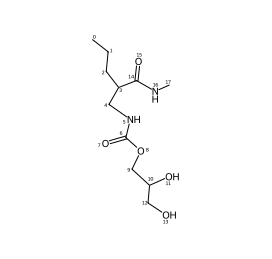 CCCC(CNC(=O)OCC(O)CO)C(=O)NC